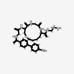 C=C1CNC(=C)C(NC(=C)CNC(=C)c2ccc(-c3ccc(CCCC)cc3)cc2)COCCCCC(C(=C)NCBO)N1